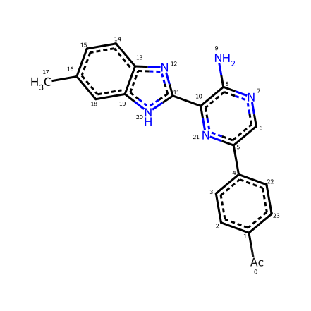 CC(=O)c1ccc(-c2cnc(N)c(-c3nc4ccc(C)cc4[nH]3)n2)cc1